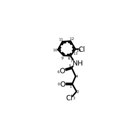 O=C(CCl)CC(=O)Nc1ccccc1Cl